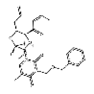 C=CC[C@@H]1O[C@H]2[C@H](n3cc(C)c(=O)n(COCc4ccccc4)c3=O)O[C@]1(C(=O)/C=C\C)[C@H]2OC